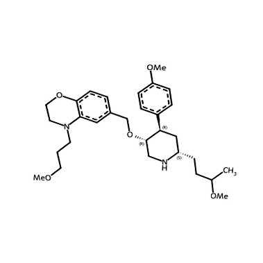 COCCCN1CCOc2ccc(CO[C@H]3CN[C@@H](CCC(C)OC)C[C@@H]3c3ccc(OC)cc3)cc21